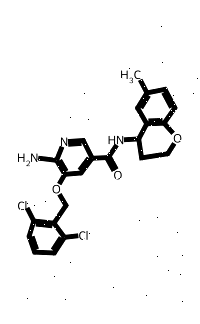 Cc1ccc2c(c1)C(NC(=O)c1cnc(N)c(OCc3c(Cl)cccc3Cl)c1)CCO2